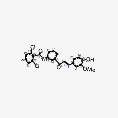 COc1cc(/C=C/C(=O)c2cccc(NC(=O)c3c(Cl)cccc3Cl)c2)ccc1O